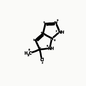 CC1(Cl)C=C2C=NNN2N1